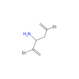 C=C(CC)CC(N)C(=C)CC